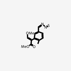 CO/C=C(/C(=O)OC)c1cc(/C=N\N=S)ccc1C